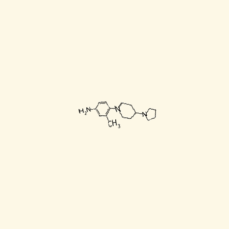 Cc1cc(N)ccc1N1CCC(N2CCCC2)CC1